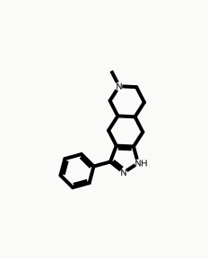 CN1CCC2Cc3[nH]nc(-c4ccccc4)c3CC2C1